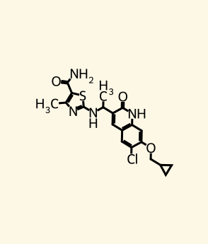 Cc1nc(NC(C)c2cc3cc(Cl)c(OCC4CC4)cc3[nH]c2=O)sc1C(N)=O